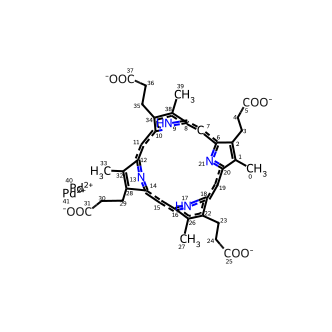 CC1=C(CCC(=O)[O-])c2cc3[nH]c(cc4nc(cc5[nH]c(cc1n2)c(CCC(=O)[O-])c5C)C(CCC(=O)[O-])=C4C)c(CCC(=O)[O-])c3C.[Pd+2].[Pd+2]